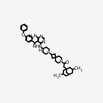 CC1CC2CC(C)CC(CC(=O)N3CCC4(CC3)CC(N3CCC(Nc5ncnc(N)c5C(=N)c5ccc(Oc6ccccc6)cc5)CC3)C4)(C1)C2